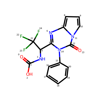 O=C(O)NC(c1nc2cccn2c(=O)n1-c1ccccc1)C(F)(F)F